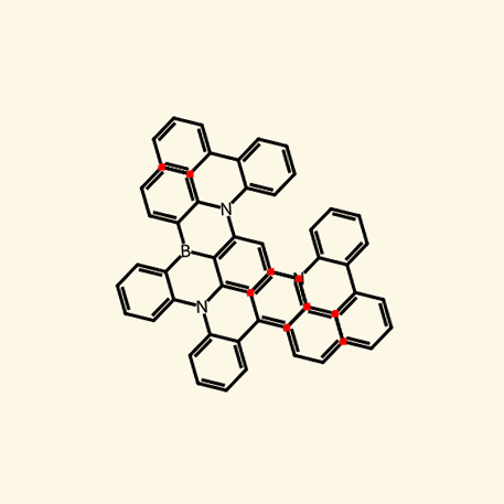 c1ccc(-c2ccccc2N(c2ccccc2)c2cc3c4c(c2)N(c2ccccc2-c2ccccc2)c2ccccc2B4c2ccccc2N3c2ccccc2-c2ccccc2)cc1